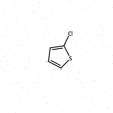 Clc1c[c][c]s1